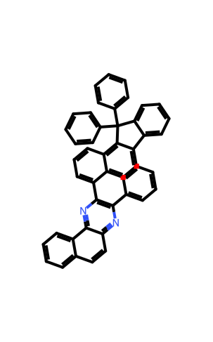 c1ccc(-c2nc3ccc4ccccc4c3nc2-c2cccc3c4c(ccc23)-c2ccccc2C4(c2ccccc2)c2ccccc2)cc1